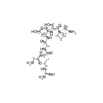 N=C(N)NCCC[C@H](NC(=O)CN)C(=O)NCC(=O)N[C@@H](CC(=O)O)C(=O)N[C@@H](CO)C(=O)N1CCC[C@H]1C(N)=O